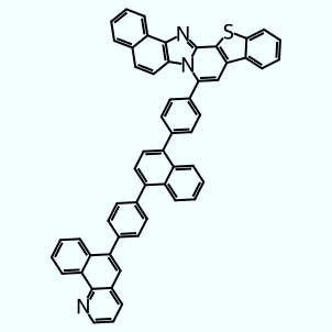 c1ccc2c(c1)ccc1c2nc2c3sc4ccccc4c3cc(-c3ccc(-c4ccc(-c5ccc(-c6cc7cccnc7c7ccccc67)cc5)c5ccccc45)cc3)n12